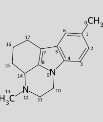 Cc1ccc2c(c1)c1c3n2CCN(C)C3CCC1